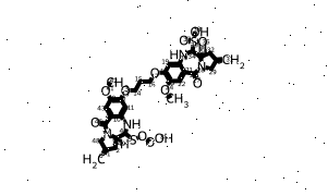 C=C1C[C@H]2C(SOOO)Nc3cc(OCCCOc4cc5c(cc4OC)C(=O)N4CC(=C)C[C@H]4C(S(=O)(=O)O)N5)c(OC)cc3C(=O)N2C1